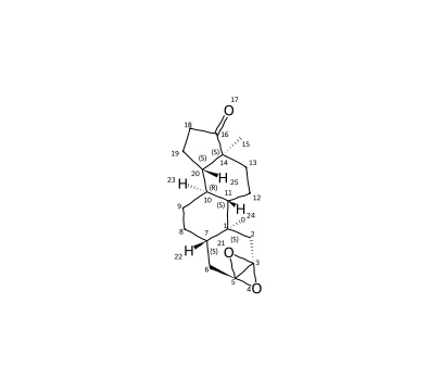 C[C@]12C[C@]34O[C@]3(C[C@@H]1CC[C@@H]1[C@@H]2CC[C@]2(C)C(=O)CC[C@@H]12)O4